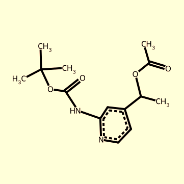 CC(=O)OC(C)c1ccnc(NC(=O)OC(C)(C)C)c1